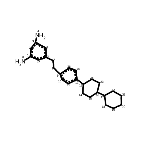 Nc1cc(N)cc(CCc2ccc(C3CCC(C4CCCCC4)CC3)cc2)c1